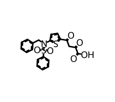 O=C(O)C(=O)CC(=O)c1ccc(N(Cc2ccccc2)S(=O)(=O)c2ccccc2)s1